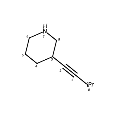 CC(C)C#CC1CCCNC1